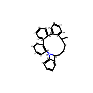 CC1CCCC2c3ccccc3N2C2=C(CCC=C2)c2ccccc2-c2ccccc21